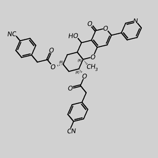 C[C@@]12Oc3cc(-c4cccnc4)oc(=O)c3C(O)C1C[C@@H](OC(=O)Cc1ccc(C#N)cc1)C[C@H]2OC(=O)Cc1ccc(C#N)cc1